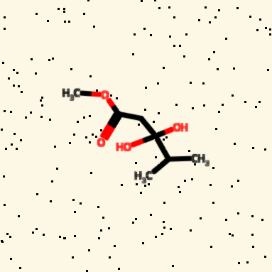 COC(=O)CC(O)(O)C(C)C